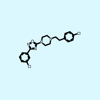 Clc1ccc(CCN2CCN(c3nc(-c4cccc(Cl)c4)no3)CC2)cc1